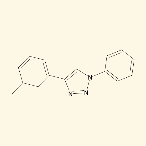 CC1C=CC=C(c2cn(-c3ccccc3)nn2)C1